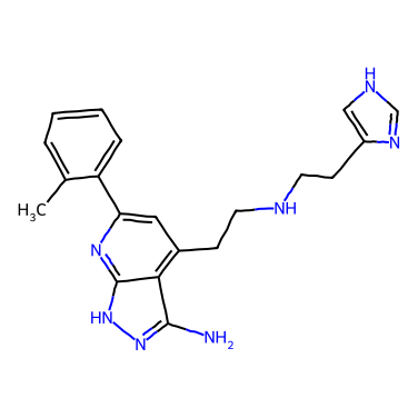 Cc1ccccc1-c1cc(CCNCCc2c[nH]cn2)c2c(N)n[nH]c2n1